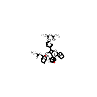 CC(=O)OC1C(OC2C(c3ccccc3)C(OC3CC4CCC(C3OC(C)=O)N4C)C2c2ccccc2)CC2CCC1N2C.CC(O)OC(C)O